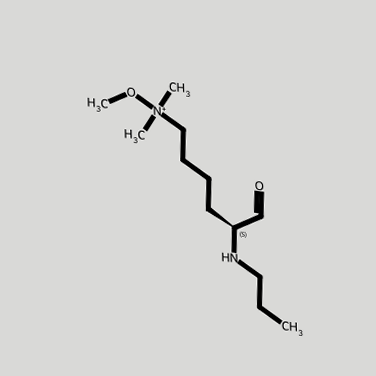 CCCN[C@H](C=O)CCCC[N+](C)(C)OC